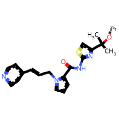 CC(C)OC(C)(C)c1csc(NC(=O)c2cccn2C/C=C/c2ccncc2)n1